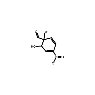 O=CC1(O)C=CC([N+](=O)[O-])=CC1O